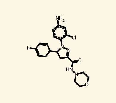 Nc1ccc(N2N=C(C(=O)NN3CCOCC3)CC2C2C=CC(F)=CC2)c(Cl)c1